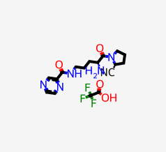 N#C[C@@H]1CCCN1C(=O)[C@@H](N)CCCNC(=O)c1cnccn1.O=C(O)C(F)(F)F